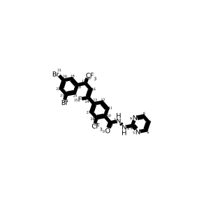 O=C(NNc1ncccn1)c1ccc(C(F)=CC(c2cc(Br)cc(Br)c2)C(F)(F)F)cc1C(F)(F)F